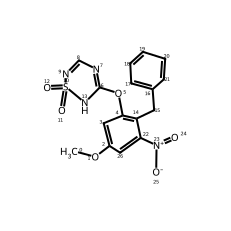 COc1cc(OC2=NC=NS(=O)(=O)N2)c(Cc2ccccc2)c([N+](=O)[O-])c1